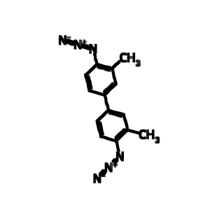 Cc1cc(-c2ccc(N=[N+]=[N-])c(C)c2)ccc1N=[N+]=[N-]